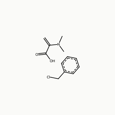 C=C(C(=O)O)N(C)C.ClCc1ccccc1